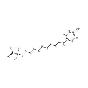 O=C(O)C(F)(F)CCCCCCCCCCSc1ccc(Cl)cc1